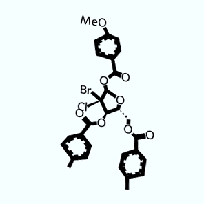 COc1ccc(C(=O)OC2O[C@H](COC(=O)c3ccc(C)cc3)[C@@H](OC(=O)c3ccc(C)cc3)[C@]2(Cl)Br)cc1